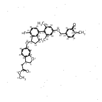 COC(=O)C[C@@H]1COc2cc(O[C@@H]3CCc4c(-c5c(C)cc(OCc6ccn(C)c(=O)c6)cc5C)ccc(F)c43)ccc21